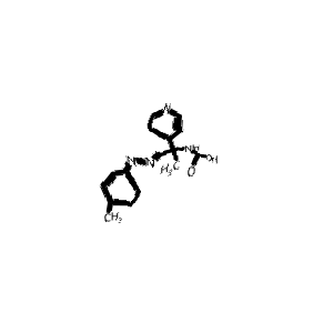 Cc1ccc(N=NCC(C)(NC(=O)O)c2ccncc2)cc1